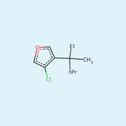 CCCC(C)(CC)c1cocc1Cl